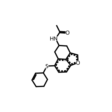 CC(=O)NC1Cc2coc3ccc(SC4C=CCCC4)c(c23)C1